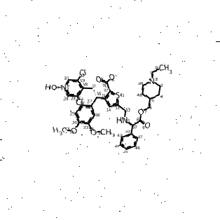 CCN1CCC(COC(=O)C(NCc2cc([C@@H](Cc3c(Cl)c[n+](O)cc3Cl)c3ccc(OC)c(OC)c3)c(C(=O)[O-])s2)c2ccccc2)CC1